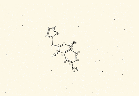 CCn1cc(Cn2ccnn2)c(=O)c2cc(N)cnc21